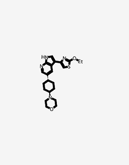 CCOc1nc(-c2c[nH]c3ncc([C@H]4CC[C@H](N5CCOCC5)CC4)cc23)cs1